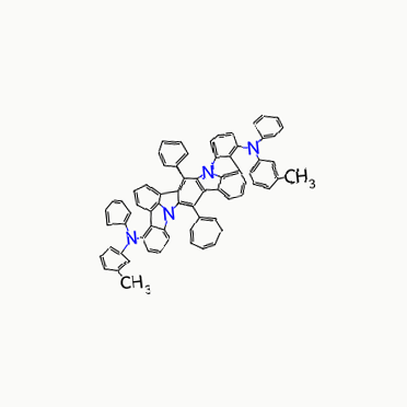 Cc1cccc(N(c2ccccc2)c2cccc3c2c2cccc4c5c(-c6ccccc6)c6c(c(C7=CCC=CC=C7)c5n3c24)c2cccc3c4c(N(c5ccccc5)c5cccc(C)c5)cccc4n6c32)c1